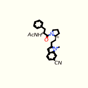 CC(=O)N[C@H](Cc1ccccc1)C(=O)N1CCC[C@H]1CCc1cc2ccc(C#N)cc2n1C